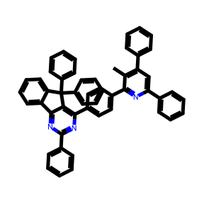 Cc1c(-c2ccccc2)cc(-c2ccccc2)nc1-c1ccc(-c2nc(-c3ccccc3)nc3c2C(c2ccccc2)(c2ccccc2)c2ccccc2-3)cc1